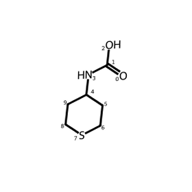 O=C(O)NC1CCSCC1